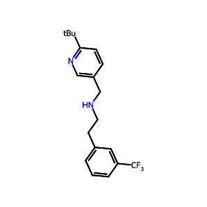 CC(C)(C)c1ccc(CNCCc2cccc(C(F)(F)F)c2)cn1